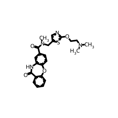 CN(C)CCOc1ncc(CN(C)C(=O)c2ccc3c(c2)NC(=O)c2ccccc2O3)s1